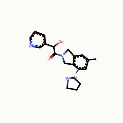 Cc1cc2c(c([C@@H]3CCCN3)c1)CN(C(=O)C(O)c1cccnc1)C2